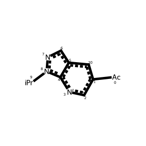 CC(=O)c1cnc2c(cnn2C(C)C)c1